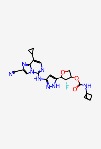 N#Cc1cn2c(Nc3cc([C@H]4OC[C@@H](OC(=O)NC56CC(C5)C6)[C@@H]4F)[nH]n3)ncc(C3CC3)c2n1